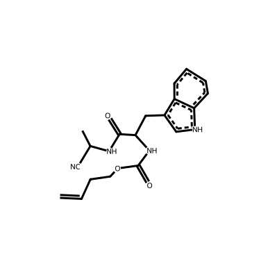 C=CCCOC(=O)NC(Cc1c[nH]c2ccccc12)C(=O)NC(C)C#N